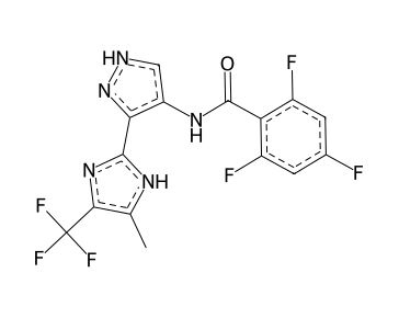 Cc1[nH]c(-c2n[nH]cc2NC(=O)c2c(F)cc(F)cc2F)nc1C(F)(F)F